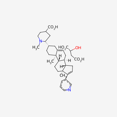 CN1CCC(C(=O)O)CC1[C@H]1CC[C@@]2(C)C(=CC[C@@H]3[C@@H]2CC[C@]2(C)C(c4cccnc4)=CC[C@@H]32)C1.O=C(O)CC(O)C(=O)O